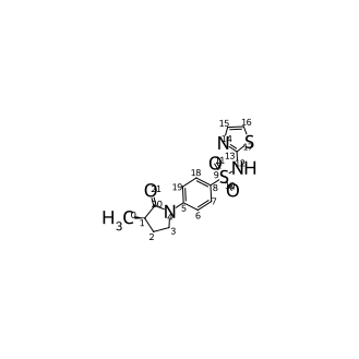 C[C@@H]1CCN(c2ccc(S(=O)(=O)Nc3nccs3)cc2)C1=O